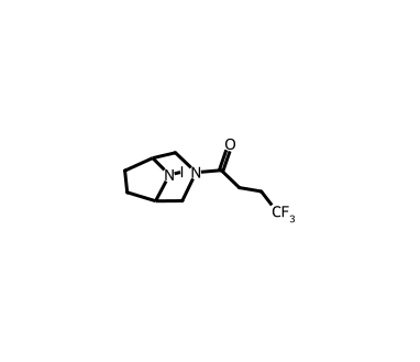 O=C(CCC(F)(F)F)N1CC2CCC(C1)N2I